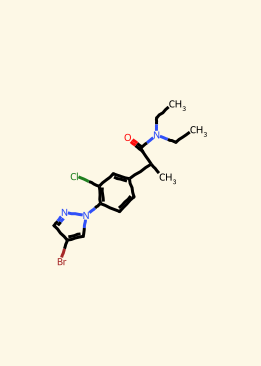 CCN(CC)C(=O)C(C)c1ccc(-n2cc(Br)cn2)c(Cl)c1